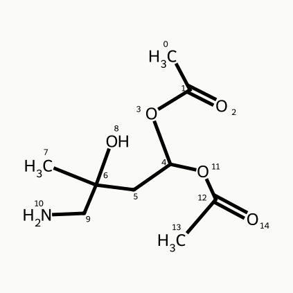 CC(=O)OC(CC(C)(O)CN)OC(C)=O